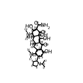 CC(C)N1CCCC1c1cc(O)c2c(c1N(C)C)C[C@H]1C[C@H]3[C@H](N(C)C)C(O)=C(C(N)=O)C(=O)[C@@]3(O)C(O)=C1C2=O